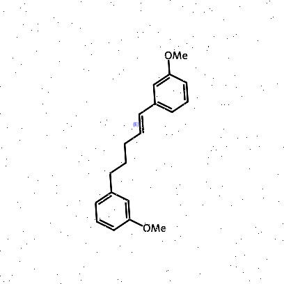 COc1cccc(/C=C/CCCc2cccc(OC)c2)c1